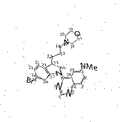 CNc1ccc2ncnc(N3CC(CCCN4CCOCC4)c4ccc(Br)cc43)c2c1